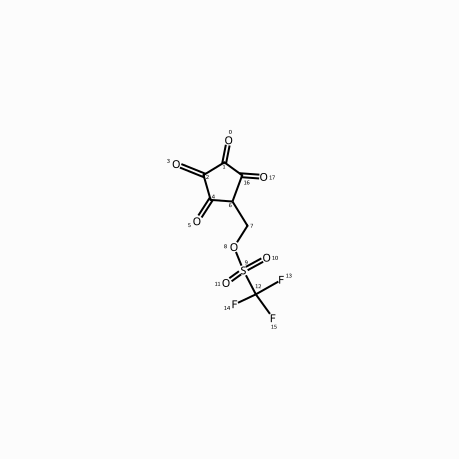 O=C1C(=O)C(=O)C(COS(=O)(=O)C(F)(F)F)C1=O